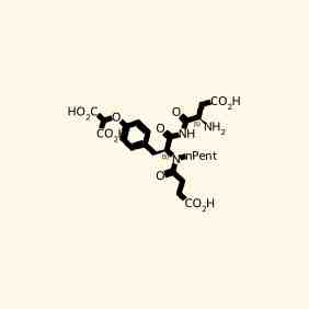 CCCCCN(C(=O)CCC(=O)O)[C@@H](Cc1ccc(OC(C(=O)O)C(=O)O)cc1)C(=O)NC(=O)[C@@H](N)CC(=O)O